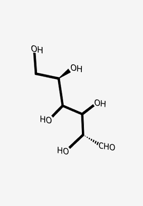 O=C[C@H](O)C(O)C(O)[C@H](O)CO